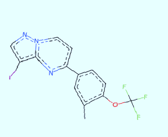 Cc1cc(-c2ccn3ncc(I)c3n2)ccc1OC(F)(F)F